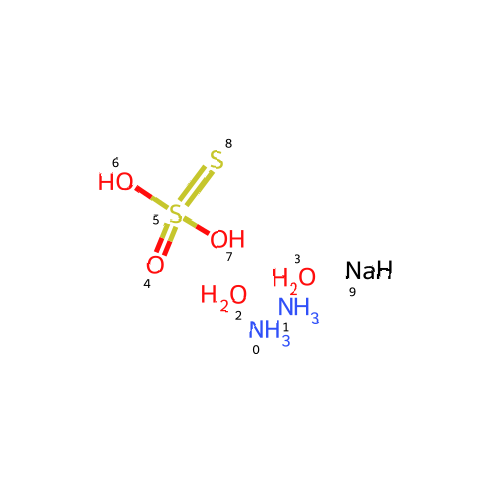 N.N.O.O.O=S(O)(O)=S.[NaH]